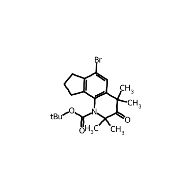 CC(C)(C)OC(=O)N1c2c(cc(Br)c3c2CCC3)C(C)(C)C(=O)C1(C)C